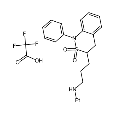 CCNCCCC1Cc2ccccc2N(c2ccccc2)S1(=O)=O.O=C(O)C(F)(F)F